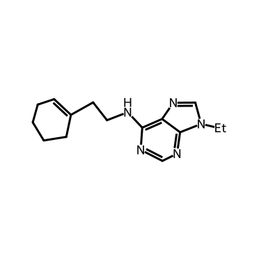 CCn1cnc2c(NCCC3=CCCCC3)ncnc21